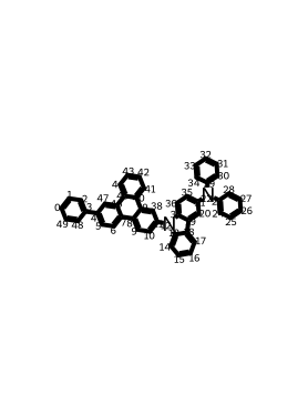 c1ccc(-c2ccc3c4ccc(-n5c6ccccc6c6cc(N(c7ccccc7)c7ccccc7)ccc65)cc4c4ccccc4c3c2)cc1